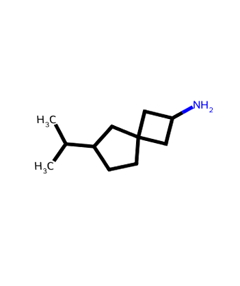 CC(C)C1CCC2(CC(N)C2)C1